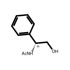 CC(=O)N[C@@H](CO)c1ccccc1